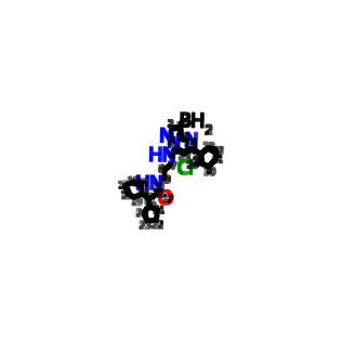 Bc1cnn2c(NCCCNC(=O)C(C3C=CC=CC3)C3CCCC3)cc(C3=C(Cl)CCC=C3)nc12